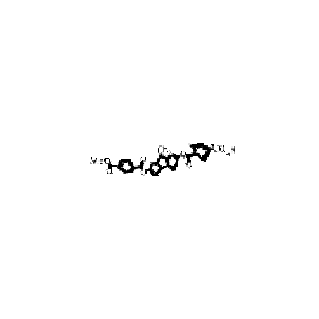 COC(=O)c1ccc(C(=O)Oc2ccc3c(c2)C(C)c2cc(OC(=O)c4ccc(C(=O)O)cc4)ccc2-3)cc1